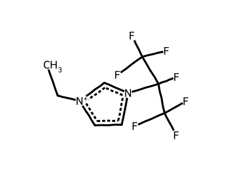 CC[n+]1ccn(C(F)(C(F)(F)F)C(F)(F)F)c1